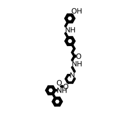 O=C(CCc1ccc(CNCc2ccc(O)cc2)cc1)CNCCN1CCC(OC(=O)Nc2ccccc2-c2ccccc2)CC1